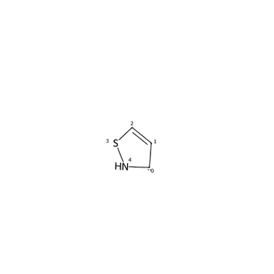 [C]1C=CSN1